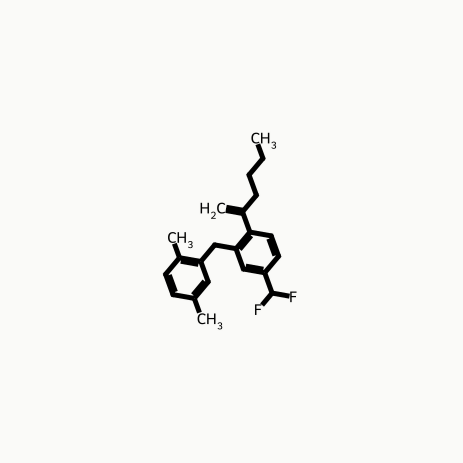 C=C(CCCC)c1ccc(C(F)F)cc1Cc1cc(C)ccc1C